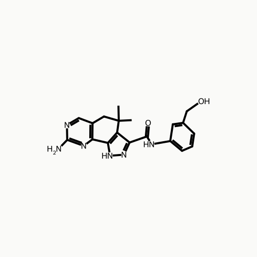 CC1(C)Cc2cnc(N)nc2-c2[nH]nc(C(=O)Nc3cccc(CO)c3)c21